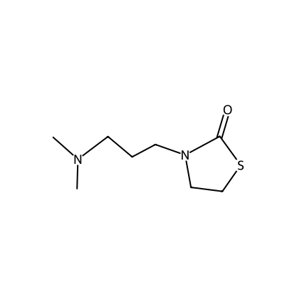 CN(C)CCCN1CCSC1=O